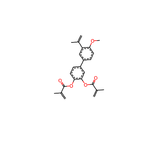 C=C(C)C(=O)Oc1ccc(-c2ccc(OC)c(C(=C)C)c2)cc1OC(=O)C(=C)C